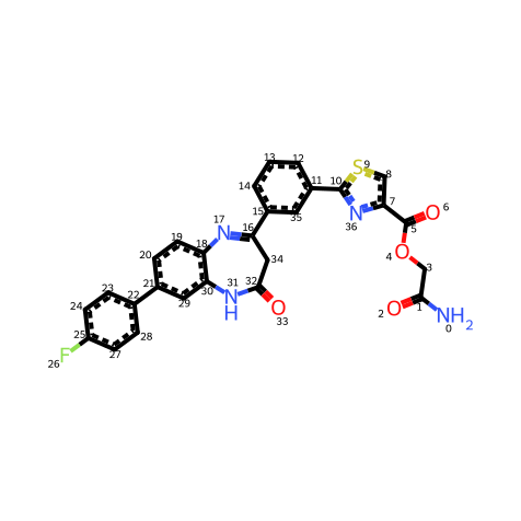 NC(=O)COC(=O)c1csc(-c2cccc(C3=Nc4ccc(-c5ccc(F)cc5)cc4NC(=O)C3)c2)n1